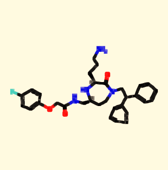 NCCC[C@@H]1N[C@H](CNC(=O)COc2ccc(F)cc2)CCN(CC(c2ccccc2)c2ccccc2)C1=O